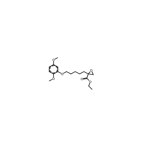 CCOC(=O)C1(CCCCCOc2cc(OC)ccc2OC)CO1